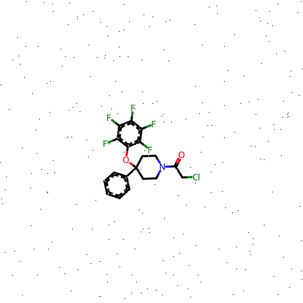 O=C(CCl)N1CCC(Oc2c(F)c(F)c(F)c(F)c2F)(c2ccccc2)CC1